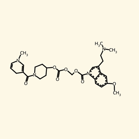 COc1ccc2c(c1)c(CCN(C)C)cn2C(=O)OCOC(=O)OC1CCN(C(=O)C2=CN(C)C=CC2)CC1